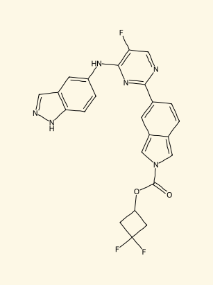 O=C(OC1CC(F)(F)C1)n1cc2ccc(-c3ncc(F)c(Nc4ccc5[nH]ncc5c4)n3)cc2c1